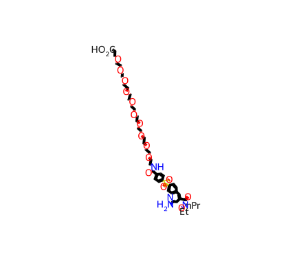 CCCN(OCC)C(=O)C1=Cc2ccc(S(=O)(=O)c3ccc(C(=O)NCCOCCOCCOCCOCCOCCOCCOCCOCCOCCOCCC(=O)O)cc3)cc2N=C(N)C1